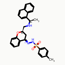 Cc1ccc(S(=O)(=O)N/N=C2\C[C@H](CN[C@H](C)c3cccc4ccccc34)Oc3ccccc32)cc1